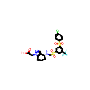 O=C(O)Cn1ncc2c1CCC[C@H]2NCS(=O)(=O)c1cc(C(F)(F)F)cc(S(=O)(=O)c2ccc(Cl)cc2)c1